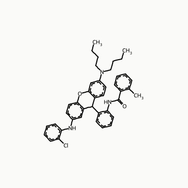 CCCCN(CCCC)c1ccc2c(c1)Oc1ccc(Nc3ccccc3Cl)cc1C2c1ccccc1NC(=O)c1ccccc1C